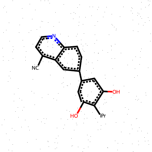 CC(C)c1c(O)cc(-c2ccc3nccc(C#N)c3c2)cc1O